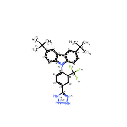 CC(C)(C)c1ccc2c(c1)c1cc(C(C)(C)C)ccc1n2C1=CC=C(C2=NNNN2)CC1C(F)(F)F